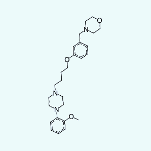 COc1ccccc1N1CCN(CCCCOc2cccc(CN3CCOCC3)c2)CC1